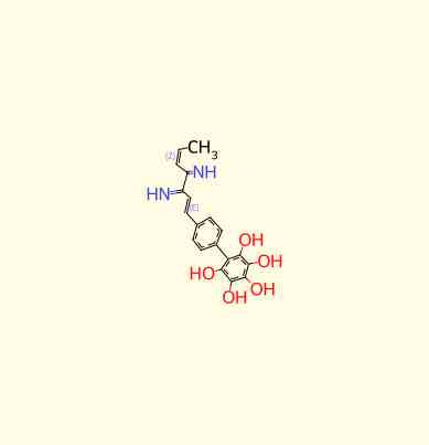 C/C=C\C(=N)C(=N)/C=C/c1ccc(-c2c(O)c(O)c(O)c(O)c2O)cc1